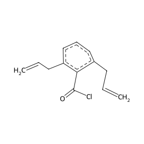 C=CCc1cccc(CC=C)c1C(=O)Cl